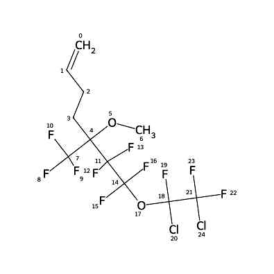 C=CCCC(OC)(C(F)(F)F)C(F)(F)C(F)(F)OC(F)(Cl)C(F)(F)Cl